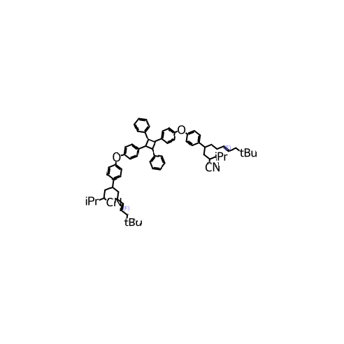 CC(C)C(C#N)CC(CC/C=C/CC(C)(C)C)c1ccc(Oc2ccc(C3C(c4ccccc4)C(c4ccc(Oc5ccc(C(CC/C=C/CC(C)(C)C)CC(C#N)C(C)C)cc5)cc4)C3c3ccccc3)cc2)cc1